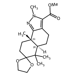 COC(=O)c1c2c(nn1C)[C@@]1(C)CCC3(OCCO3)C(C)(C)[C@@H]1CC2